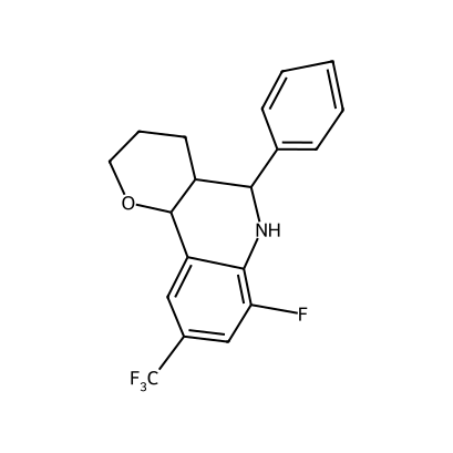 Fc1cc(C(F)(F)F)cc2c1NC(c1ccccc1)C1CCCOC21